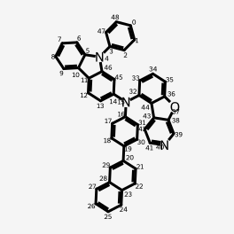 c1ccc(-n2c3ccccc3c3ccc(N(c4ccc(-c5ccc6ccccc6c5)cc4)c4cccc5oc6cnccc6c45)cc32)cc1